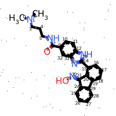 CN(C)CCCNC(=O)c1ccc2[nH]c(-c3cccc4c3C(=NO)c3ccccc3-4)nc2c1